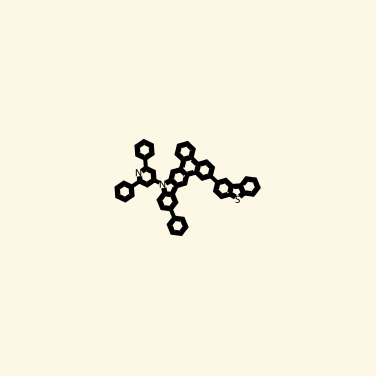 c1ccc(-c2ccc3c(c2)c2cc4c5cc(-c6ccc7sc8ccccc8c7c6)ccc5c5ccccc5c4cc2n3-c2cc(-c3ccccc3)nc(-c3ccccc3)c2)cc1